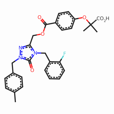 Cc1ccc(Cn2nc(COC(=O)c3ccc(OC(C)(C)C(=O)O)cc3)n(Cc3ccccc3F)c2=O)cc1